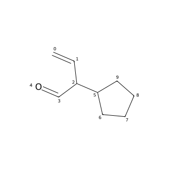 C=CC(C=O)C1CCCC1